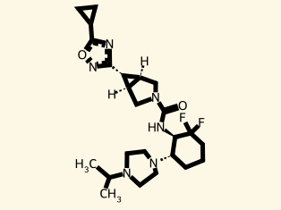 CC(C)N1CCN([C@H]2CCCC(F)(F)[C@@H]2NC(=O)N2C[C@@H]3[C@H](C2)[C@H]3c2noc(C3CC3)n2)CC1